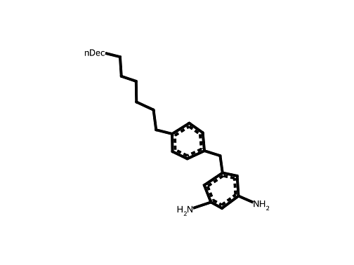 CCCCCCCCCCCCCCCCc1ccc(Cc2cc(N)cc(N)c2)cc1